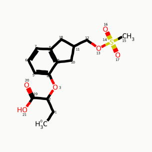 CCC(Oc1cccc2c1CC(COS(C)(=O)=O)C2)C(=O)O